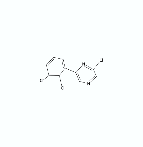 Clc1cncc(-c2cccc(Cl)c2Cl)n1